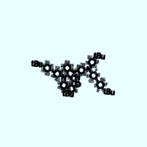 CC(C)(C)c1ccc(-c2ccc(N(c3ccc(C(C)(C)C)cc3)c3ccc4c5c6ccccc6c(N(c6ccc(-c7ccc(C(C)(C)C)cc7)cc6)c6ccc(C(C)(C)C)cc6)c6c7c8ccccc8oc7n(c4c3)c65)cc2)cc1